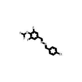 CCc1ccc(C=NN=Cc2cc(F)c(OC(F)F)c(F)c2)cc1